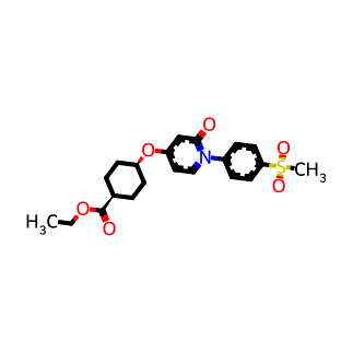 CCOC(=O)[C@H]1CC[C@@H](Oc2ccn(-c3ccc(S(C)(=O)=O)cc3)c(=O)c2)CC1